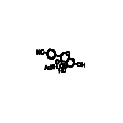 CC(=O)NOC1(O)C(c2ccc(C#N)cc2)=COc2cc(O)cc(O)c21